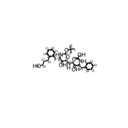 CC(C)(C)OC(=O)N[C@@H](Cc1ccccc1CCCO)C(O)CNC[C@@H](O)[C@H](Cc1ccccc1)NC(=O)O